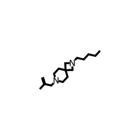 C=C(C)CN1CCC2(CC1)CN(CCCCC)C2